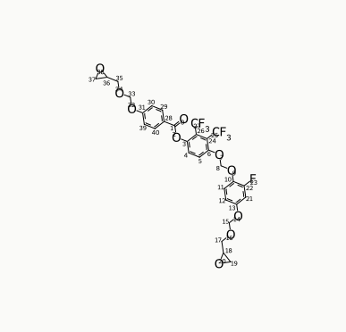 O=C(Oc1ccc(OCOc2ccc(OCOCC3CO3)cc2F)c(C(F)(F)F)c1C(F)(F)F)c1ccc(OCOCC2CO2)cc1